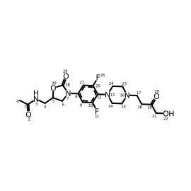 CC(=O)NCC1CN(c2cc(F)c(N3CCN(CCC(=O)CO)CC3)c(F)c2)C(=O)O1